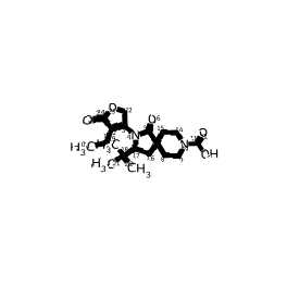 CCC1=C(N2C(=O)C3(CCN(C(=O)O)CC3)CC2C(C)(C)C)COC1=O